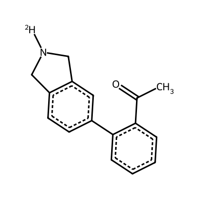 [2H]N1Cc2ccc(-c3ccccc3C(C)=O)cc2C1